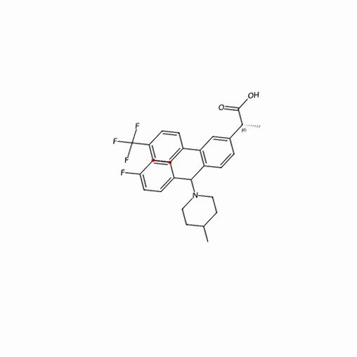 CC1CCN(C(c2ccc(F)cc2)c2ccc([C@@H](C)C(=O)O)cc2-c2ccc(C(F)(F)F)cc2)CC1